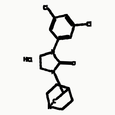 Cl.O=C1N(c2cc(Cl)cc(Cl)c2)CCN1C1CN2CCC1CC2